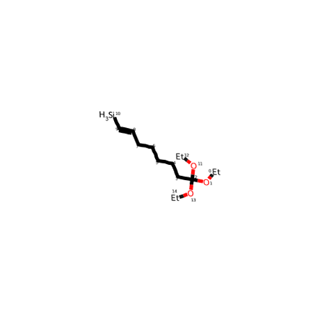 CCOC(CCCCCC=C[SiH3])(OCC)OCC